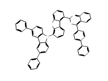 c1ccc(-c2ccc(C3=c4ccccc4=NC(c4cccc5oc6c(-n7c8ccc(-c9ccccc9)cc8c8cc(-c9ccccc9)ccc87)cccc6c45)N3)cc2)cc1